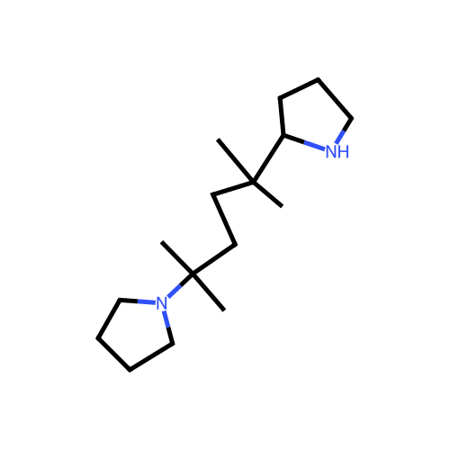 CC(C)(CCC(C)(C)N1CCCC1)C1CCCN1